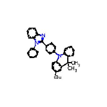 CC(C)(C)c1ccc2c(c1)C(C)(C)c1ccccc1N2c1ccc(-c2nc3ccccc3n2-c2ccccc2)cc1